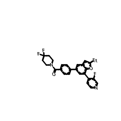 CCc1cc2cc(-c3ccc(C(=O)N4CCC(F)(F)CC4)cc3)cc(-c3ccncc3F)c2o1